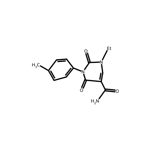 CCn1cc(C(N)=O)c(=O)n(-c2ccc(C)cc2)c1=O